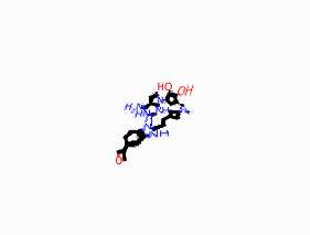 CN(C[C@H]1C[C@@H](N2CCC3C(N)NCNC32)[C@H](O)[C@@H]1O)C1CC(CCC2Nc3ccc(C4COC4)cc3N2)C1